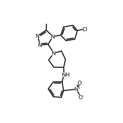 Cc1nnc(N2CCC(Nc3ccccc3[N+](=O)[O-])CC2)n1-c1ccc(Cl)cc1